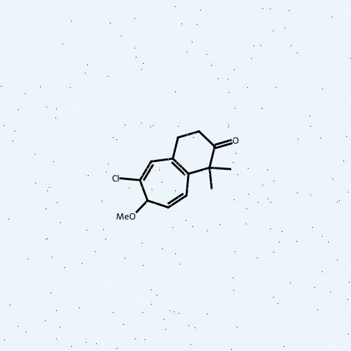 COC1C=CC2=C(C=C1Cl)CCC(=O)C2(C)C